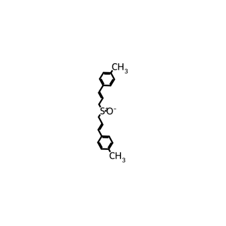 Cc1ccc(C=CC[S+]([O-])CC=Cc2ccc(C)cc2)cc1